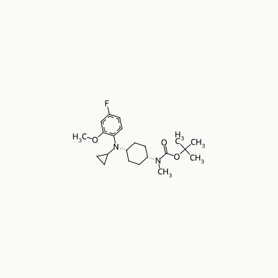 COc1cc(F)ccc1N(C1CC1)[C@H]1CC[C@@H](N(C)C(=O)OC(C)(C)C)CC1